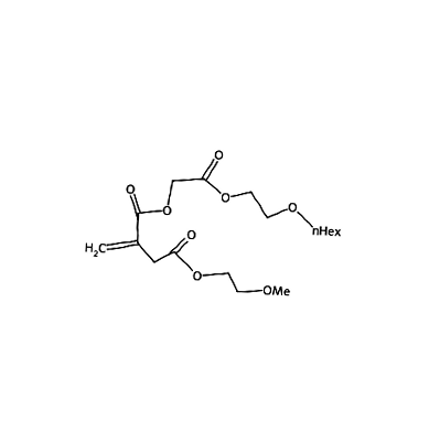 C=C(CC(=O)OCCOC)C(=O)OCC(=O)OCCOCCCCCC